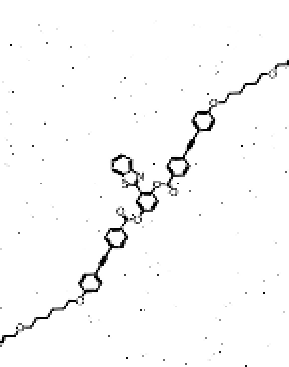 C=CCOCCCCCCOc1ccc(C#Cc2ccc(C(=O)Oc3ccc(OC(=O)c4ccc(C#Cc5ccc(OCCCCCCOCC=C)cc5)cc4)c(-c4nc5ccccc5s4)c3)cc2)cc1